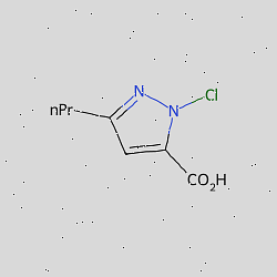 CCCc1cc(C(=O)O)n(Cl)n1